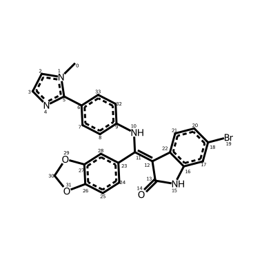 Cn1ccnc1-c1ccc(NC(=C2C(=O)Nc3cc(Br)ccc32)c2ccc3c(c2)OCO3)cc1